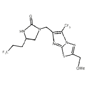 COCc1nn2c(C(F)(F)F)c(CN3CC(CCC(F)(F)F)NC3=O)nc2s1